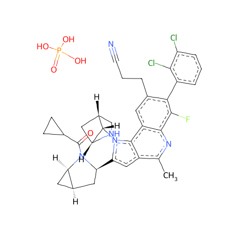 Cc1nc2c(F)c(-c3cccc(Cl)c3Cl)c(CCC#N)cc2c2c1cc([C@H]1C[C@H]3C[C@H]3N1C(=O)C1CC1)n2[C@H]1[C@H]2CN[C@@H]1C2.O=P(O)(O)O